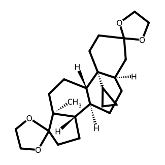 C[C@]12CC[C@H]3[C@@H](CC[C@@H]4CC5(CC[C@@]43C3CC3)OCCO5)[C@@H]1CCC21OCCO1